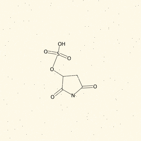 O=C1CC(OS(=O)(=O)O)C(=O)[N]1